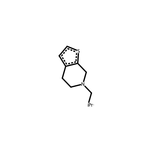 C[C](C)CN1CCc2ccsc2C1